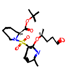 Cc1ccc(S(=O)(=O)N2CCC[C@H]2C(=O)OC(C)(C)C)c(O[C@@H](C)CCC=O)n1